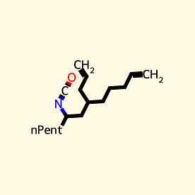 C=CCCCC(CC=C)CC(CCCCC)N=C=O